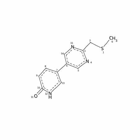 CSCc1ncc(-c2ccc(=O)[nH]c2)cn1